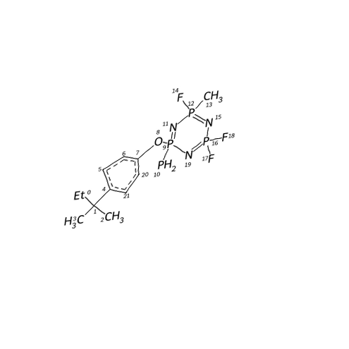 CCC(C)(C)c1ccc(OP2(P)=NP(C)(F)=NP(F)(F)=N2)cc1